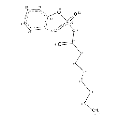 CCCCCCCC(=O)OS(=O)(=O)Oc1ccccc1